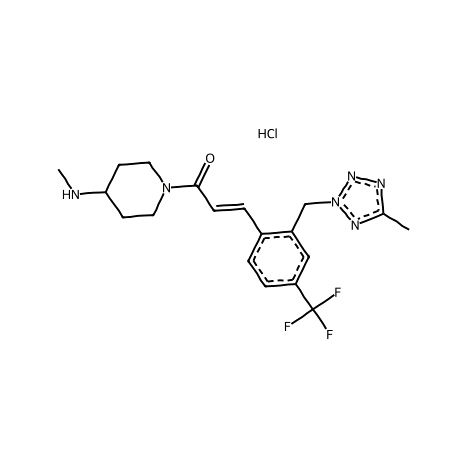 CNC1CCN(C(=O)/C=C/c2ccc(C(F)(F)F)cc2Cn2nnc(C)n2)CC1.Cl